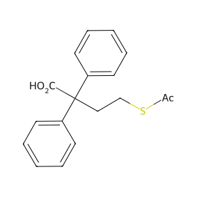 CC(=O)SCCC(C(=O)O)(c1ccccc1)c1ccccc1